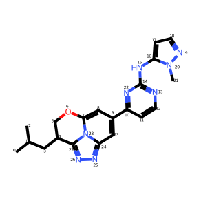 CC(C)CC1COc2cc(-c3ccnc(Nc4ccnn4C)n3)cc3nnc1n23